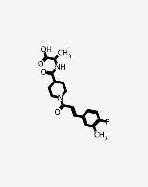 Cc1cc(/C=C/C(=O)N2CCC(C(=O)NC(C)C(=O)O)CC2)ccc1F